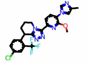 COc1nc(-c2nnc3n2CCCC3c2ccc(Cl)cc2C(F)(F)F)ccc1-n1cnc(C)c1